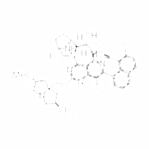 C#Cc1c(F)ccc2cccc(-c3nc4c5c(nc(OCC67CC(=C)CN6C[C@@H](OC)C7)nc5c3F)N3C[C@H]5CC[C@H](N5)[C@H]3[C@H](C)O4)c12